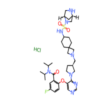 CC(C)N(C(=O)c1cc(F)ccc1Oc1cncnc1N1CC[C@@H](CN2CC3(CCC(NS(=O)(=O)N4C[C@@H]5C[C@H]4CN5)CC3)C2)C1)C(C)C.Cl